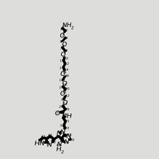 NCCOCCOCCOCCCCCOCCOCCOCCOCCC(=O)NCCCCn1nc(-c2cnc3[nH]ccc3c2)c2c(N)ncnc21